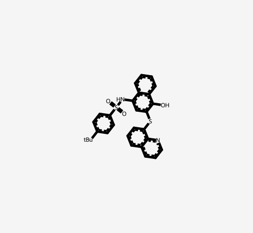 CC(C)(C)c1ccc(S(=O)(=O)Nc2cc(Sc3cccc4cccnc34)c(O)c3ccccc23)cc1